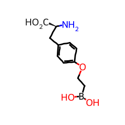 N[C@@H](Cc1ccc(OCCB(O)O)cc1)C(=O)O